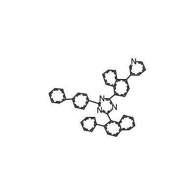 c1ccc(-c2ccc(-c3nc(-c4c(-c5ccccc5)ccc5ccccc45)nc(-c4ccc(-c5cccnc5)c5ccccc45)n3)cc2)cc1